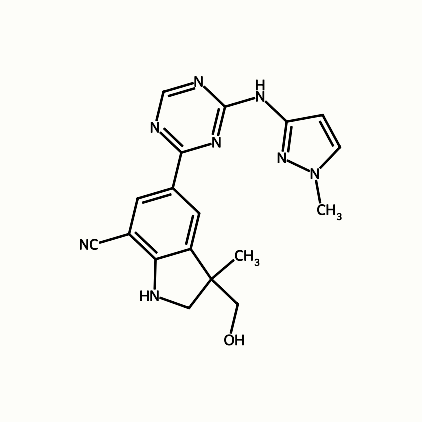 Cn1ccc(Nc2ncnc(-c3cc(C#N)c4c(c3)C(C)(CO)CN4)n2)n1